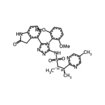 COc1cccc(OC)c1-n1c(NS(=O)(=O)[C@@H](C)[C@H](C)c2ncc(C)cn2)nnc1-c1cccc2c1CC(=O)N2